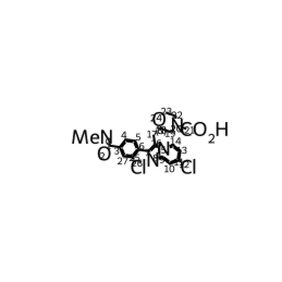 CNC(=O)c1ccc(-c2nc3cc(Cl)ccn3c2C[C@H]2CN(C(=O)O)CCO2)c(Cl)c1